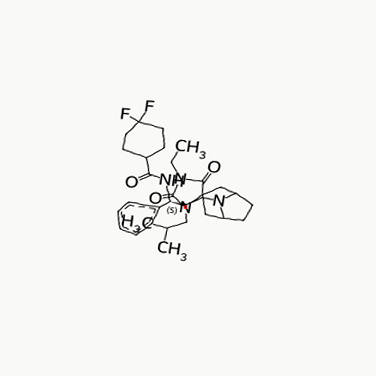 CCN1C(=O)N(CC(C)C)C2(CC3CCC(C2)N3CC[C@H](NC(=O)C2CCC(F)(F)CC2)c2ccccc2)C1=O